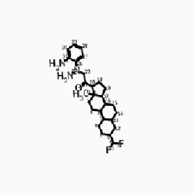 CC12CCC3C4CCC(C(F)F)CC4CCC3C1CCC2C(=O)CN(N)c1ccccc1N